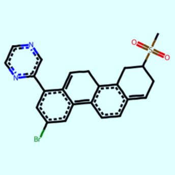 CS(=O)(=O)C1CC=c2ccc3c(c2C1)CC=c1c(-c2cnccn2)cc(Br)cc1=3